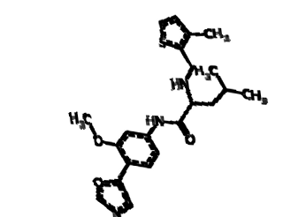 COc1cc(NC(=O)C(CC(C)C)NCc2sccc2C)ccc1-c1cnco1